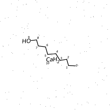 CCCCCCCCCO.[CaH2]